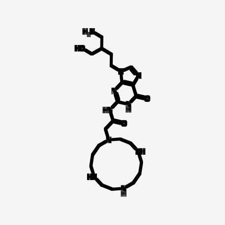 NCC(CO)CCn1cnc2c(=O)[nH]c(NC(=O)CN3CCCNCCNCCCNCC3)nc21